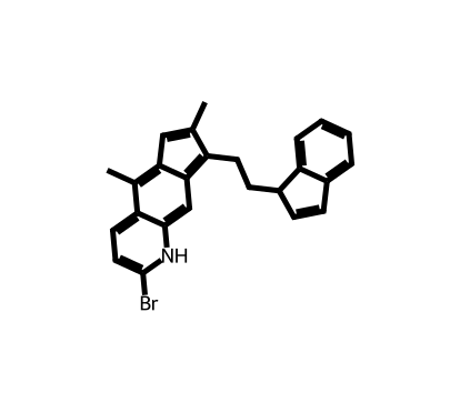 Cc1cc2c(C)c3ccc(Br)[nH]c3cc2c1CCC1C=Cc2ccccc21